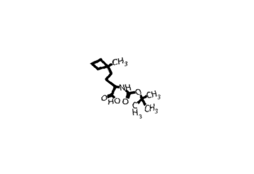 CC1(CCC(NC(=O)OC(C)(C)C)C(=O)O)CCC1